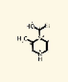 CCC(O)N1CCNCC1C